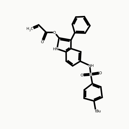 C=CC(=O)Oc1[nH]c2ccc(NS(=O)(=O)c3ccc(C(C)(C)C)cc3)cc2c1-c1ccccc1